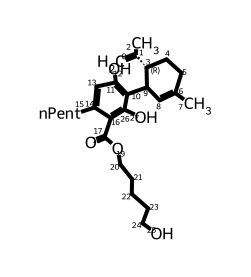 C=C(C)[C@@H]1CCC(C)=CC1c1c(O)cc(CCCCC)c(C(=O)OCCCCCO)c1O